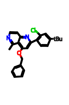 Cc1nccc2nc(-c3ccc(C(C)(C)C)cc3Cl)cc(OCc3ccccc3)c12